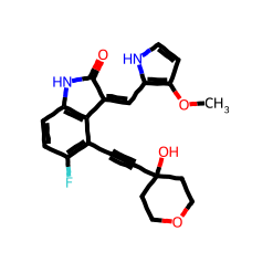 COc1cc[nH]c1C=C1C(=O)Nc2ccc(F)c(C#CC3(O)CCOCC3)c21